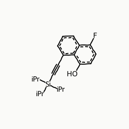 CC(C)[Si](C#Cc1cccc2c(F)ccc(O)c12)(C(C)C)C(C)C